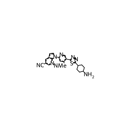 CNc1cc(-n2ccc3cc(C#N)cnc32)ncc1-c1nnc(C2CCC(N)CC2)s1